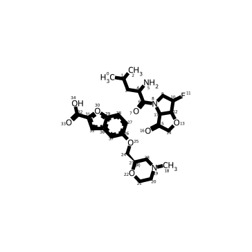 CC(C)CC(N)C(=O)N1CC(F)C2OCC(=O)C21.CN1CCO[C@@H](COc2ccc3oc(C(=O)O)cc3c2)C1